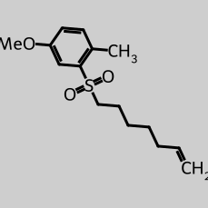 C=CCCCCCS(=O)(=O)c1cc(OC)ccc1C